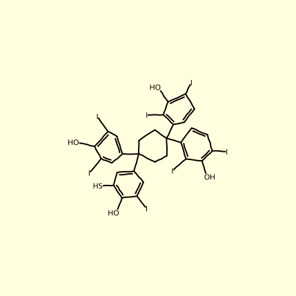 Oc1c(S)cc(C2(c3cc(I)c(O)c(I)c3)CCC(c3ccc(I)c(O)c3I)(c3ccc(I)c(O)c3I)CC2)cc1I